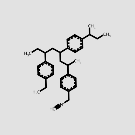 C#[N+]Cc1ccc(C(C)CC(CC(CC)c2ccc(CC)cc2)c2ccc(C(C)CC)cc2)cc1